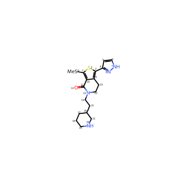 CSc1sc(-c2cc[nH]n2)c2c1C(=O)N(CCC1CCCNC1)CC2